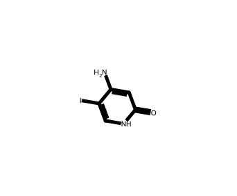 Nc1cc(=O)[nH]cc1I